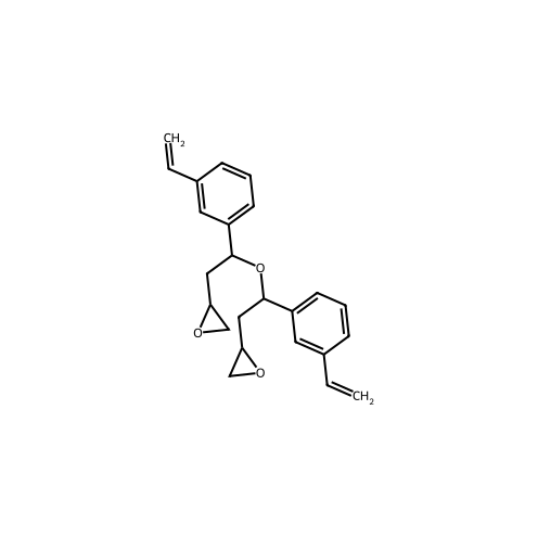 C=Cc1cccc(C(CC2CO2)OC(CC2CO2)c2cccc(C=C)c2)c1